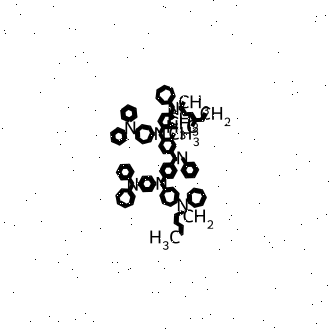 C=C/C(C)=C/C=C(\C)N(C(=C)/C=C\C(=C/C)N(C1=CCC=C(N(c2ccccc2)c2ccccc2)C=C1)C1C=CC(C(=Nc2ccccc2)c2ccc(N(C3=CC=C(N(C(=C)/C=C\C=C/C)C4=CC=CC=CC4)CC=C3)c3ccc(N(C4=C=CC=CC=C4)c4ccccc4)cc3)cc2)=CC1C)C1=CCC=CC=C1